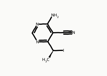 C[C@H](I)c1ncnc(N)c1C#N